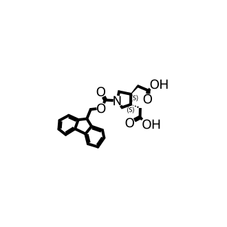 O=C(O)C[C@@H]1CN(C(=O)OCC2c3ccccc3-c3ccccc32)C[C@H]1CC(=O)O